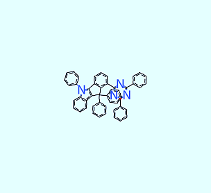 c1ccc(-c2nc(-c3ccccc3)nc(-c3cccc4c3C(c3ccccc3)(c3ccccc3)c3c-4n(-c4ccccc4)c4ccccc34)n2)cc1